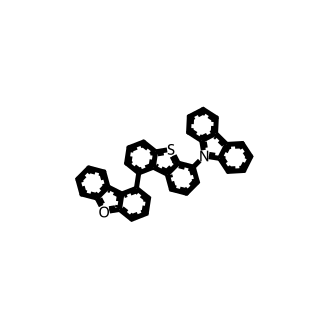 c1ccc2c(c1)oc1cccc(-c3cccc4sc5c(-n6c7ccccc7c7ccccc76)cccc5c34)c12